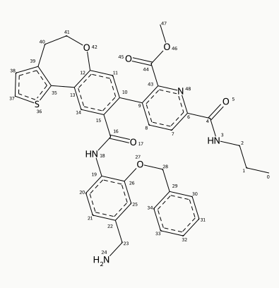 CCCNC(=O)c1ccc(-c2cc3c(cc2C(=O)Nc2ccc(CN)cc2OCc2ccccc2)-c2sccc2CCO3)c(C(=O)OC)n1